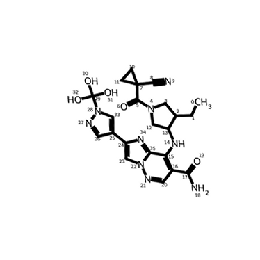 CCC1CN(C(=O)C2(C#N)CC2)CC1Nc1c(C(N)=O)cnn2cc(-c3cnn(C(O)(O)O)c3)nc12